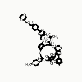 Cc1c(Cl)c2c(Cl)c(C)c1-c1c(-c3ccc(F)cc3)sc3ncnc(c13)O[C@@H](C(=O)OC(C)(C)C)Cc1cc(ccc1OCc1ccnc(C3CCC(F)(COC[C@@H]4COCCO4)CC3)n1)OC[C@@H](CN1CCN(C)CC1)O2